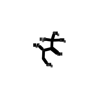 CCN(C)C(=N)C(C)(C)C